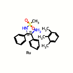 CS(=O)(=O)N[C@@H](c1ccccc1)[C@@H](N)c1ccccc1.Cc1cccc(C)c1C.[Ru]